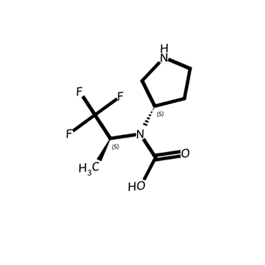 C[C@H](N(C(=O)O)[C@H]1CCNC1)C(F)(F)F